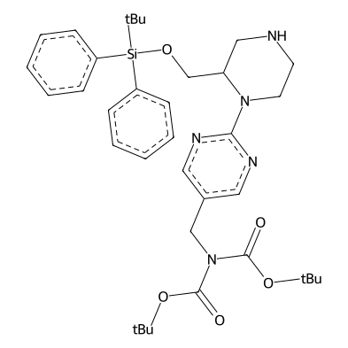 CC(C)(C)OC(=O)N(Cc1cnc(N2CCNCC2CO[Si](c2ccccc2)(c2ccccc2)C(C)(C)C)nc1)C(=O)OC(C)(C)C